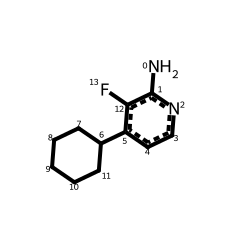 Nc1nccc(C2CCCCC2)c1F